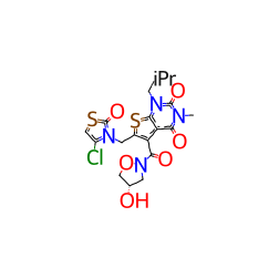 CC(C)Cn1c(=O)n(C)c(=O)c2c(C(=O)N3C[C@H](O)CO3)c(Cn3c(Cl)csc3=O)sc21